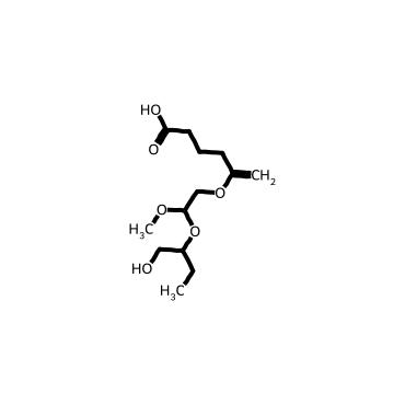 C=C(CCCC(=O)O)OCC(OC)OC(CC)CO